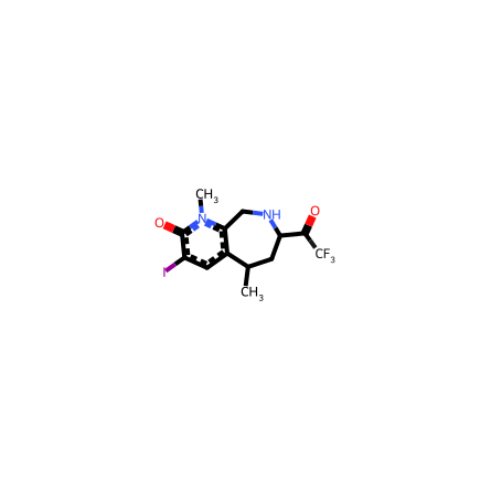 CC1CC(C(=O)C(F)(F)F)NCc2c1cc(I)c(=O)n2C